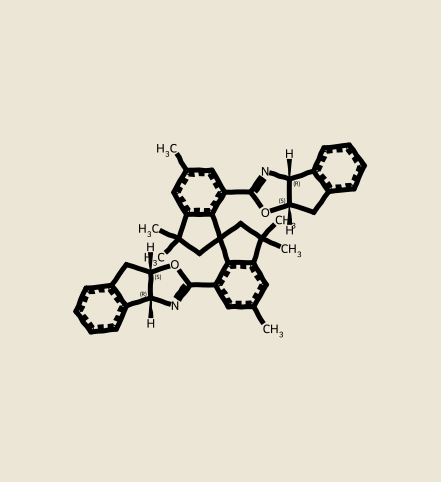 Cc1cc(C2=N[C@@H]3c4ccccc4C[C@@H]3O2)c2c(c1)C(C)(C)CC21CC(C)(C)c2cc(C)cc(C3=N[C@@H]4c5ccccc5C[C@@H]4O3)c21